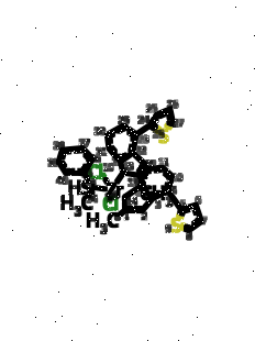 CC1=Cc2c(-c3cccs3)cccc2[CH]1[Zr]([Cl])([Cl])([CH]1C(C)=Cc2c(-c3cccs3)cccc21)[SiH](C)c1ccccc1